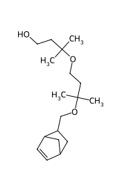 CC(C)(CCO)OCCC(C)(C)OCC1CC2C=CC1C2